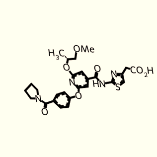 COC[C@@H](C)Oc1cc(C(=O)Nc2nc(CC(=O)O)cs2)cc(Oc2ccc(C(=O)N3CCCC3)cc2)n1